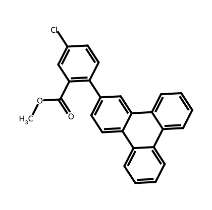 COC(=O)c1cc(Cl)ccc1-c1ccc2c3ccccc3c3ccccc3c2c1